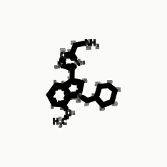 COc1cccc2c(-c3noc(CN)n3)cn(CC3CCCCC3)c12